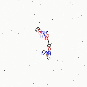 Cc1cc(OCc2nnc(SC3CCCC3)n2-c2cccnc2)ccc1C#CCOC(=O)NCCNC(=O)CC1C2CC3CC(C2)CC1C3